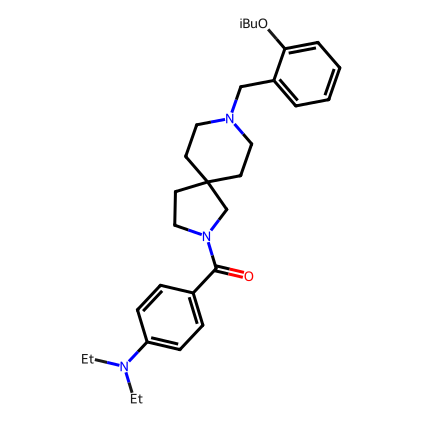 CCN(CC)c1ccc(C(=O)N2CCC3(CCN(Cc4ccccc4OCC(C)C)CC3)C2)cc1